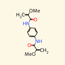 C=C(OC)C(=O)Nc1ccc(NC(=O)C(=C)OC)cc1